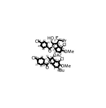 CC[C@H](C)c1cc2c(c(Cl)c1OC)c(OC(C)=O)c(C)n2C(=O)c1ccc(Cl)cc1.COc1ccc2c(c1Cl)c(C(C(=O)O)C(C)C)c(C)n2C(=O)c1ccc(Cl)cc1